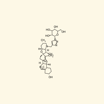 CC1=C2C[C@H]3[C@@H](CC=C4C[C@@H](O)CC[C@@]43C)[C@@H]2CC[C@]12O[C@@H]1C[C@H](C)CN(Cc3cn([C@@H]4OC(CO)[C@@H](O)C(O)[C@@H]4O)nn3)[C@H]1[C@H]2C